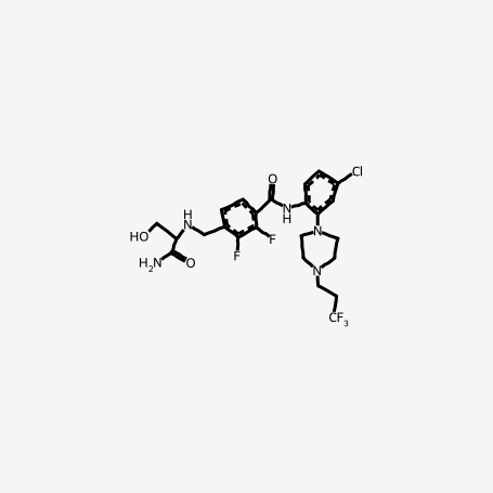 NC(=O)C(CO)NCc1ccc(C(=O)Nc2ccc(Cl)cc2N2CCN(CCC(F)(F)F)CC2)c(F)c1F